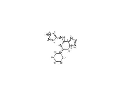 c1nc2c(Nc3cn[nH]c3)nc(C3CCCCC3)cn2n1